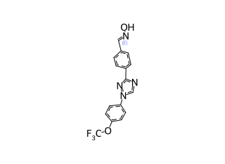 O/N=C/c1ccc(-c2ncn(-c3ccc(OC(F)(F)F)cc3)n2)cc1